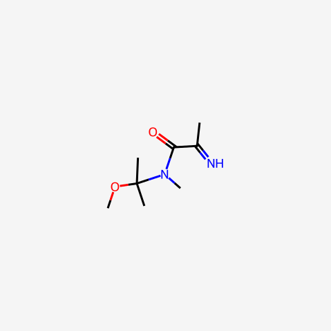 COC(C)(C)N(C)C(=O)C(C)=N